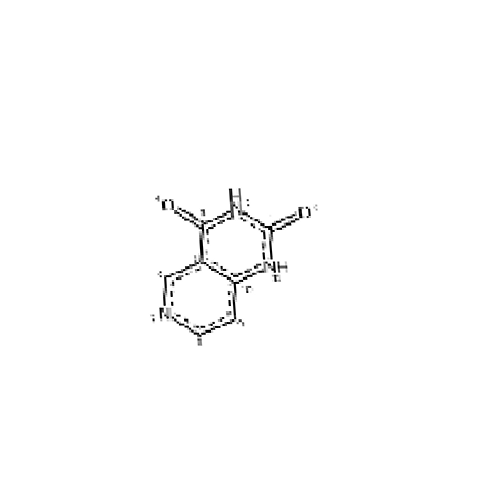 O=c1[nH]c(=O)c2cnccc2[nH]1